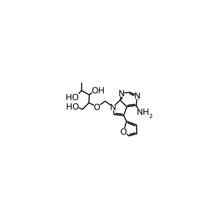 CC(O)C(O)C(CO)OCn1cc(-c2ccco2)c2c(N)ncnc21